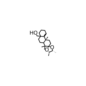 C[C@H]1OC2(CC[C@@]3(C)C4=CCCCC4(CO)CCC3C2(C)C)O[C@@H]1C